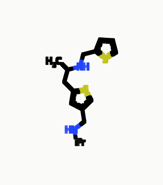 CC(C)NCc1csc(CC(C)NCc2cccs2)c1